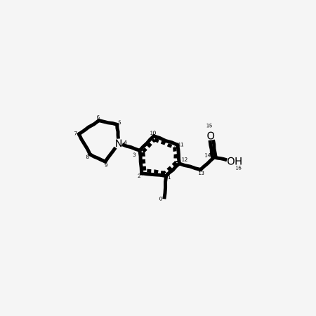 Cc1cc(N2CCCCC2)ccc1CC(=O)O